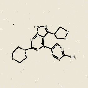 Nc1ncc(-c2nc(N3CCOCC3)nc3[nH]nc(C4CCOC4)c23)cn1